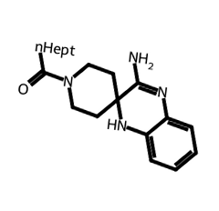 CCCCCCCC(=O)N1CCC2(CC1)Nc1ccccc1N=C2N